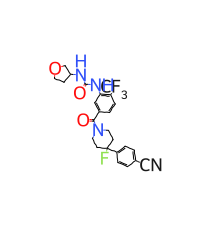 N#Cc1ccc(C2(F)CCN(C(=O)c3ccc(C(F)(F)F)c(NC(=O)NC4CCOC4)c3)CC2)cc1